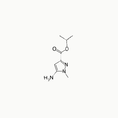 CC(C)OC(=O)c1cc(N)n(C)n1